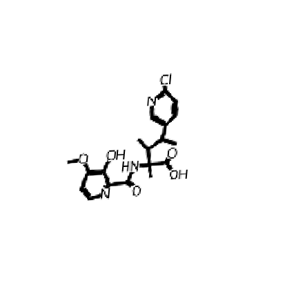 COc1ccnc(C(=O)NC(C)(C(=O)O)C(C)C(C)c2ccc(Cl)nc2)c1O